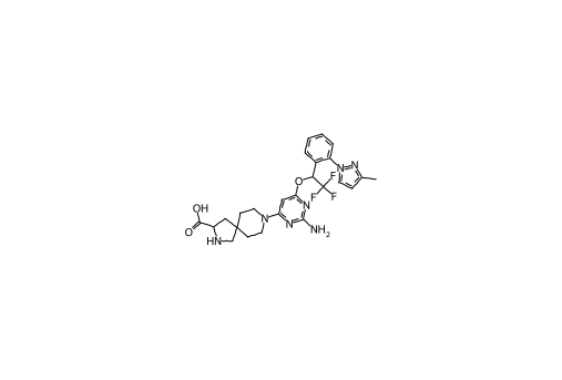 Cc1ccn(-c2ccccc2C(Oc2cc(N3CCC4(CC3)CNC(C(=O)O)C4)nc(N)n2)C(F)(F)F)n1